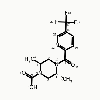 C[C@@H]1CN(C(=O)O)[C@@H](C)CN1C(=O)c1ccc(C(F)(F)F)cn1